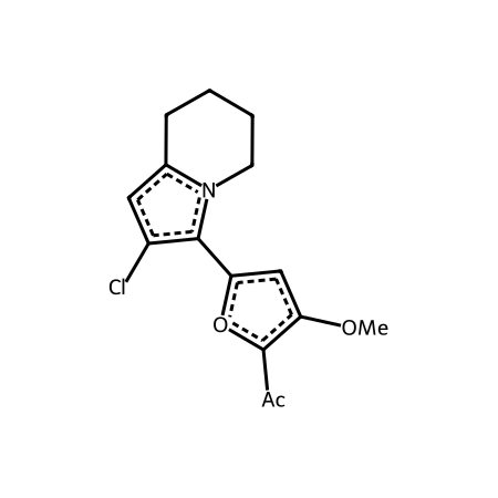 COc1cc(-c2c(Cl)cc3n2CCCC3)oc1C(C)=O